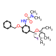 CC[Si](CC)(CC)O[C@H](CI)c1ccc(OCc2ccccc2)c(NS(=O)(=O)N(C)C)c1